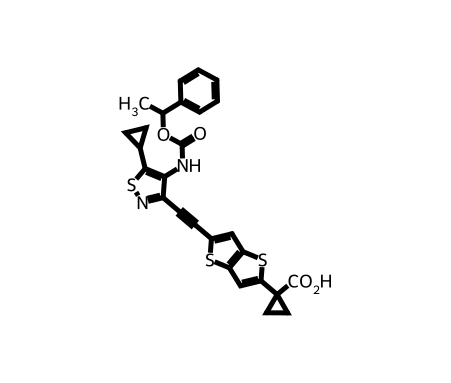 CC(OC(=O)Nc1c(C#Cc2cc3sc(C4(C(=O)O)CC4)cc3s2)nsc1C1CC1)c1ccccc1